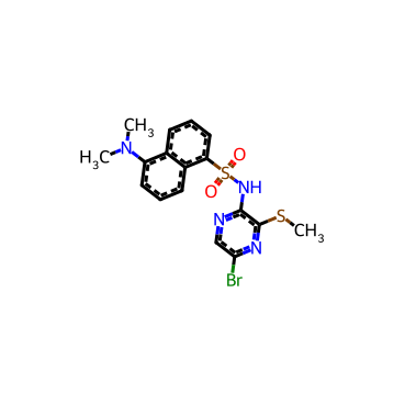 CSc1nc(Br)cnc1NS(=O)(=O)c1cccc2c(N(C)C)cccc12